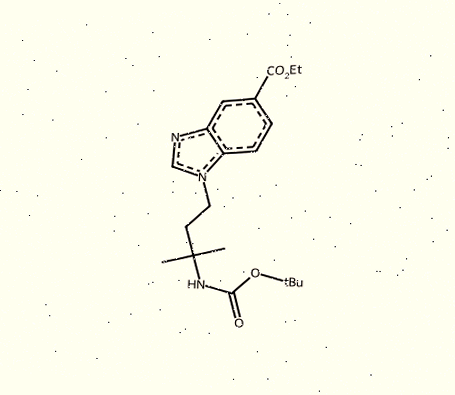 CCOC(=O)c1ccc2c(c1)ncn2CCC(C)(C)NC(=O)OC(C)(C)C